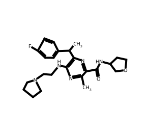 Cc1nc(NCCN2CCCC2)c(C(C)c2ccc(F)cc2)nc1C(=O)NC1CCOC1